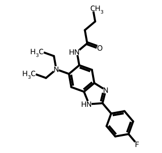 CCCC(=O)Nc1cc2nc(-c3ccc(F)cc3)[nH]c2cc1N(CC)CC